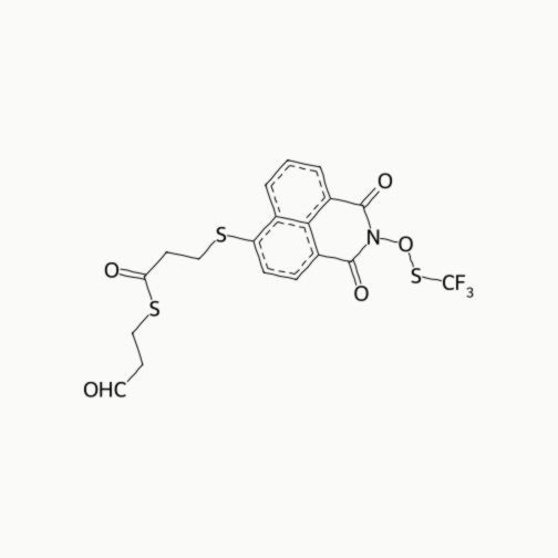 O=CCCSC(=O)CCSc1ccc2c3c(cccc13)C(=O)N(OSC(F)(F)F)C2=O